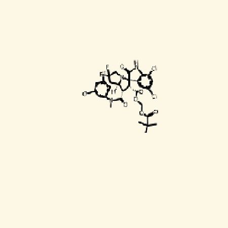 CN(C(=O)[C@@H]1[C@H]2CC(F)(F)CN2[C@]2(C(=O)Nc3c(Cl)cc(Cl)cc32)[C@@H]1C(=O)OCOC(=O)C(C)(C)C)c1cc(Cl)cc(Cl)c1